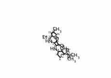 CC[C@@H](Nc1c(Nc2cccc([S+]([O-])N(C)C)c2O)c(=O)c1=O)c1cc(C)co1